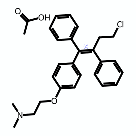 CC(=O)O.CN(C)CCOc1ccc(/C(=C(/CCCl)c2ccccc2)c2ccccc2)cc1